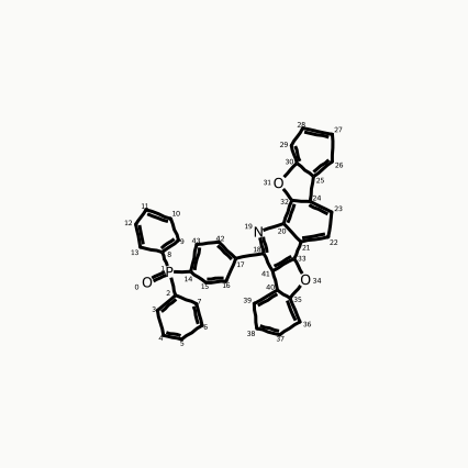 O=P(c1ccccc1)(c1ccccc1)c1ccc(-c2nc3c(ccc4c5ccccc5oc43)c3oc4ccccc4c23)cc1